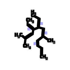 C=C\C=C/C(C)=C\C(=C\C)C(\C=C(C)C)=C/C